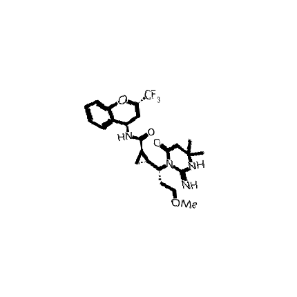 COCC[C@H]([C@@H]1C[C@H]1C(=O)N[C@@H]1C[C@@H](C(F)(F)F)Oc2ccccc21)N1C(=N)NC(C)(C)CC1=O